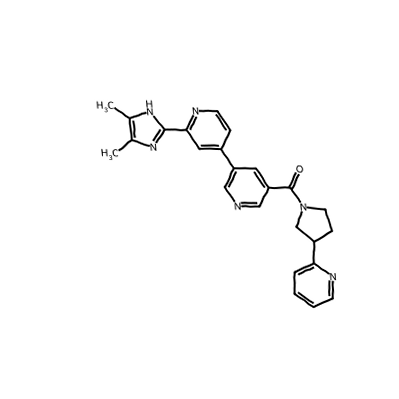 Cc1nc(-c2cc(-c3cncc(C(=O)N4CCC(c5ccccn5)C4)c3)ccn2)[nH]c1C